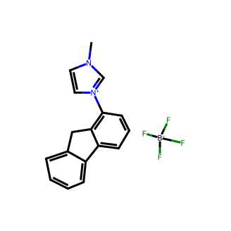 Cn1cc[n+](-c2cccc3c2Cc2ccccc2-3)c1.F[B-](F)(F)F